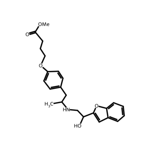 COC(=O)CCCOc1ccc(CC(C)NCC(O)c2cc3ccccc3o2)cc1